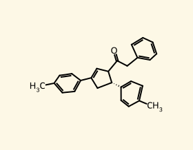 Cc1ccc(C2=CC(C(=O)Cc3ccccc3)[C@H](c3ccc(C)cc3)C2)cc1